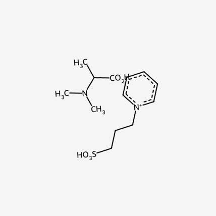 CC(C(=O)O)N(C)C.O=S(=O)(O)CCC[n+]1ccccc1